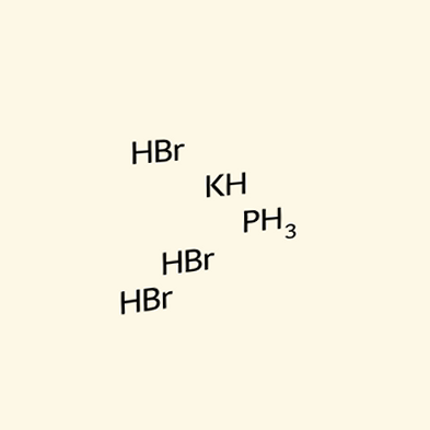 Br.Br.Br.P.[KH]